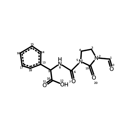 O=CN1CCN(C(=O)NC(C(=O)O)c2ccccc2)C1=O